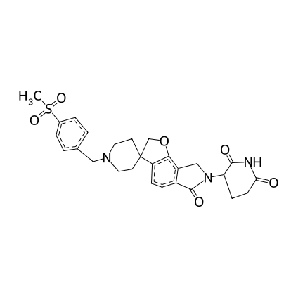 CS(=O)(=O)c1ccc(CN2CCC3(CC2)COc2c3ccc3c2CN(C2CCC(=O)NC2=O)C3=O)cc1